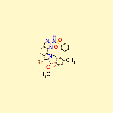 CCOC(=O)c1c(Br)c2c(n1Cc1cccc(C)c1)-c1nc(NS(=O)(=O)c3ccccc3)ncc1CC2